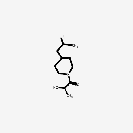 CC(C)CC1CCN(C(=O)[C@@H](C)O)CC1